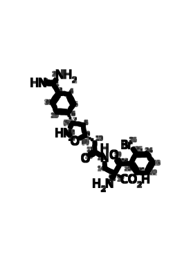 N=C(N)c1ccc([C@@H]2C[C@H](CC(=O)NC[C@@](N)(C(=O)O)C(=O)c3ccccc3Br)ON2)cc1